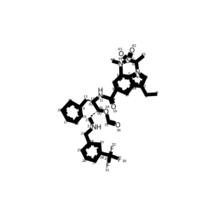 CCc1cn2c3c(cc(C(=O)N[C@@H](Cc4ccccc4)[C@@H](CNCc4cccc(C(F)(F)F)c4)OC=O)cc13)N(C)S(=O)(=O)C2C